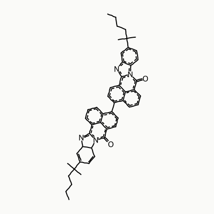 CCCCC(C)(C)C1=CC2N=c3c4cccc5c(-c6ccc7c8c6cccc8c(=O)n6c8ccc(C(C)(C)CCCC)cc8nc76)ccc(c(=O)n3C2C=C1)c54